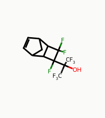 OC(C(F)(F)F)(C(F)(F)F)C1(F)C2C3C=CC(C3)C2C1(F)F